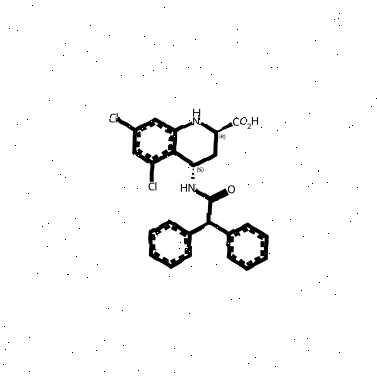 O=C(N[C@H]1C[C@H](C(=O)O)Nc2cc(Cl)cc(Cl)c21)C(c1ccccc1)c1ccccc1